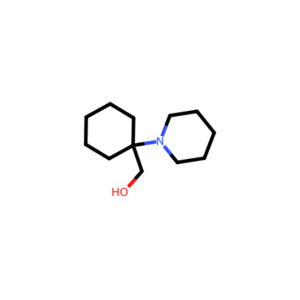 OCC1(N2CCCCC2)CCCCC1